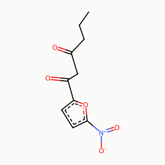 CCCC(=O)CC(=O)c1ccc([N+](=O)[O-])o1